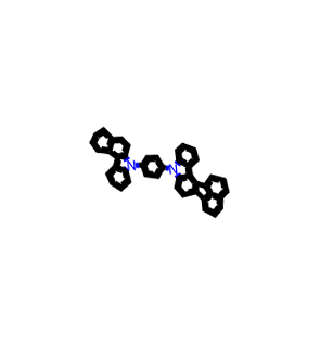 c1cc2c3c(cccc3c1)-c1c-2ccc2c1c1ccccc1n2-c1ccc(-n2c3ccccc3c3c4ccccc4ccc32)cc1